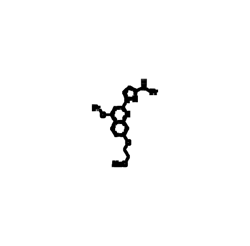 COCCOc1ccc2c(OC(C)C)cc(-n3ccc(NC(C)C)n3)nc2c1